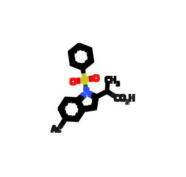 CC(=O)c1ccc2c(c1)cc(C(C)C(=O)O)n2S(=O)(=O)c1ccccc1